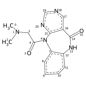 CN(C)CC(=O)N1c2ccccc2NC(=O)c2cncnc21